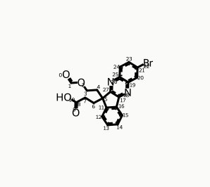 O=COCCC1(CCC(=O)O)c2ccccc2-c2nc3cc(Br)ccc3nc21